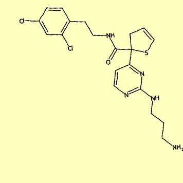 NCCCNc1nccc(C2(C(=O)NCCc3ccc(Cl)cc3Cl)CC=CS2)n1